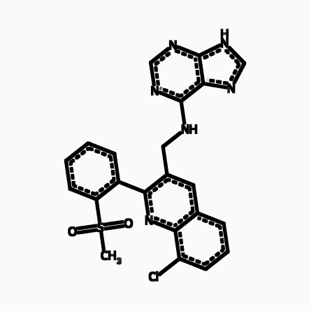 CS(=O)(=O)c1ccccc1-c1nc2c(Cl)cccc2cc1CNc1ncnc2[nH]cnc12